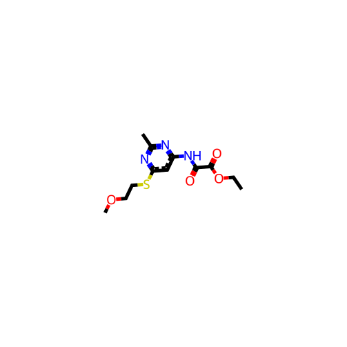 CCOC(=O)C(=O)Nc1cc(SCCOC)nc(C)n1